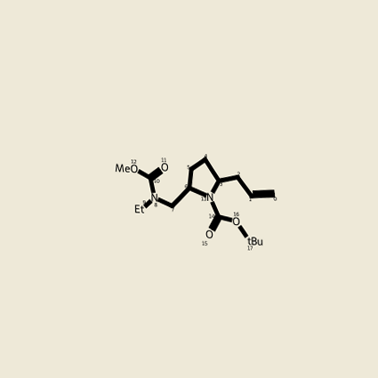 C=CCC1CCC(CN(CC)C(=O)OC)N1C(=O)OC(C)(C)C